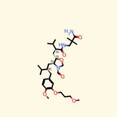 COCCCOc1cc(C[C@H](C[C@H]2[C@H](C[C@H](C(=O)NCC(C)(C)C(N)=O)C(C)C)OCN2C=O)C(C)C)ccc1OC